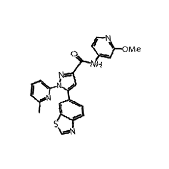 COc1cc(NC(=O)c2cc(-c3ccc4ncsc4c3)n(-c3cccc(C)n3)n2)ccn1